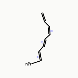 C=C\C=C/C=C/C=C/CCC